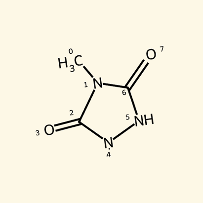 CN1C(=O)[N]NC1=O